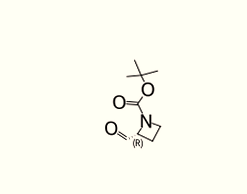 CC(C)(C)OC(=O)N1CC[C@@H]1C=O